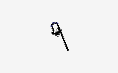 CCCCC/C=C\C/C=C\C/C=C\CCCCC(=O)O[C@H](COCCCCCCCCCCCCCCCC)COP(=O)([O-])OCC[N+](C)(C)C